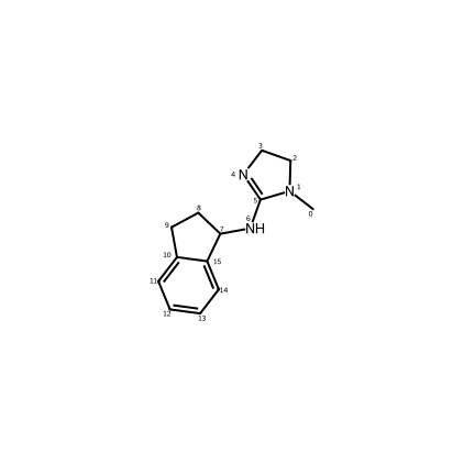 CN1CCN=C1NC1CCc2ccccc21